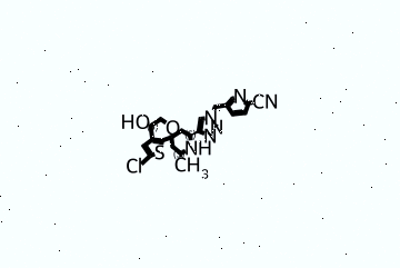 C[C@H]1CC2(C[C@@H](c3cn(Cc4ccc(C#N)nc4)nn3)N1)OC[C@@H](O)c1cc(Cl)sc12